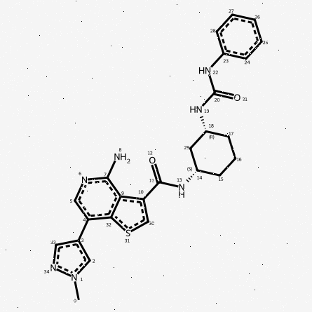 Cn1cc(-c2cnc(N)c3c(C(=O)N[C@H]4CCC[C@@H](NC(=O)Nc5ccccc5)C4)csc23)cn1